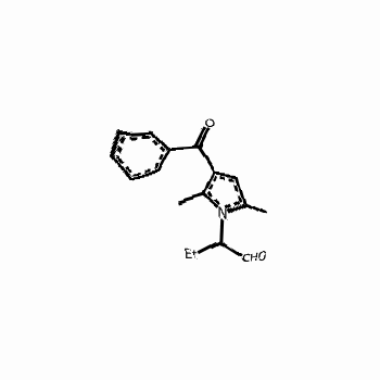 CCC(C=O)n1c(C)cc(C(=O)c2ccccc2)c1C